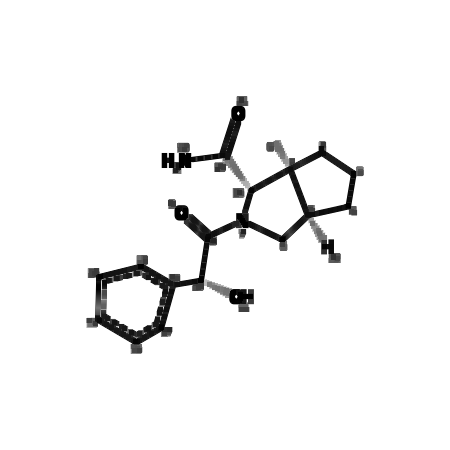 C[C@]12CCC[C@H]1CN(C(=O)[C@H](O)c1ccccc1)[C@@H]2C(N)=O